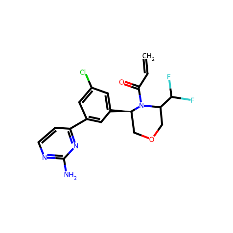 C=CC(=O)N1C(C(F)F)COC[C@H]1c1cc(Cl)cc(-c2ccnc(N)n2)c1